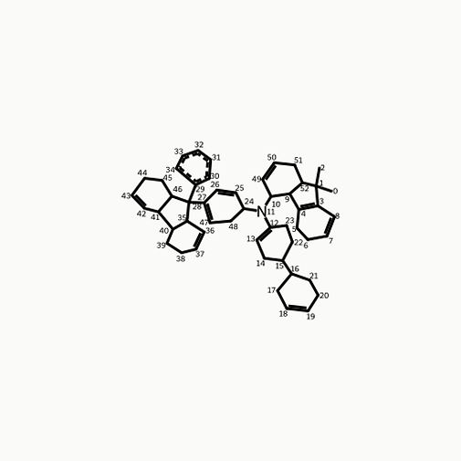 CC1(C)C2=C(CCC=C2)C2C(N(C3=CCC(C4CC=CCC4)CC3)C3C=CC(C4(c5ccccc5)C5C=CCCC5C5C=CCCC54)=CC3)C=CCC21